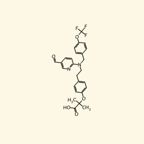 CC(C)(Oc1ccc(CCN(Cc2ccc(OC(F)(F)F)cc2)c2ccc(C=O)cn2)cc1)C(=O)O